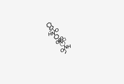 C=CC(=O)NC1CCN(S(=O)(=O)c2ccc(NC(=O)c3cc4ccccc4s3)cc2)C2(CCC2)C1